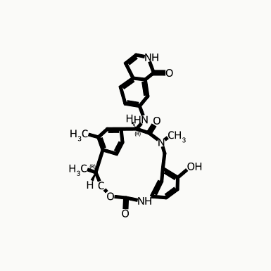 Cc1cc2ccc1[C@@H](C)COC(=O)Nc1ccc(O)c(c1)CN(C)C(=O)[C@@H]2Nc1ccc2cc[nH]c(=O)c2c1